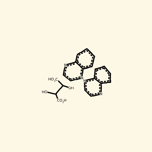 O=C(O)C(O)C(O)C(=O)O.c1ccc2nccnc2c1.c1ccc2nccnc2c1